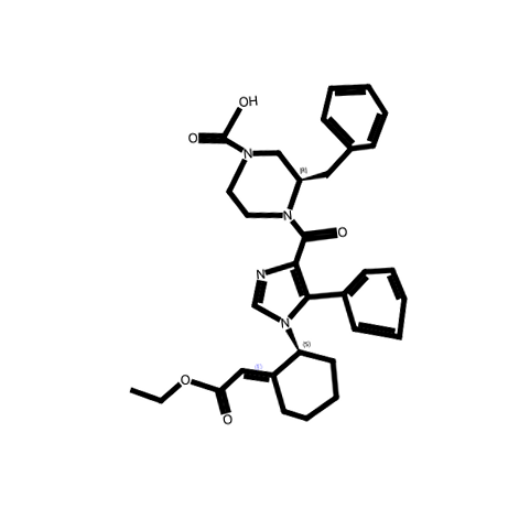 CCOC(=O)/C=C1\CCCC[C@@H]1n1cnc(C(=O)N2CCN(C(=O)O)C[C@H]2Cc2ccccc2)c1-c1ccccc1